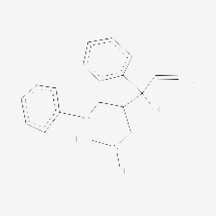 C=CC(O)(c1ccccc1)C(COc1ccccc1)CN(C)C